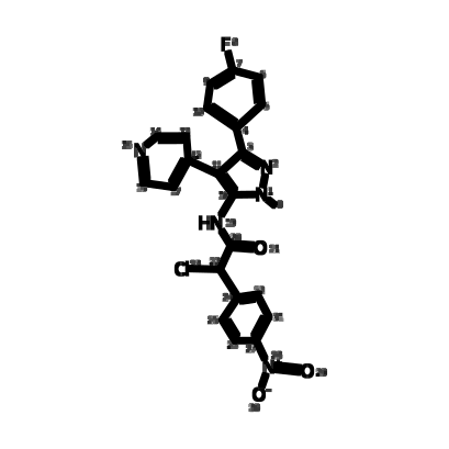 Cn1nc(-c2ccc(F)cc2)c(-c2ccncc2)c1NC(=O)C(Cl)c1ccc([N+](=O)[O-])cc1